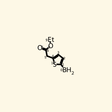 Bc1ccc(CC(=O)OCC)s1